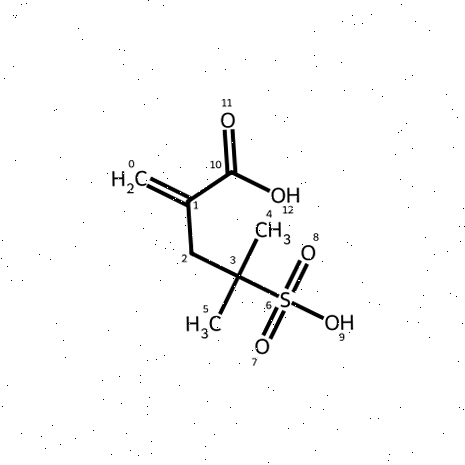 C=C(CC(C)(C)S(=O)(=O)O)C(=O)O